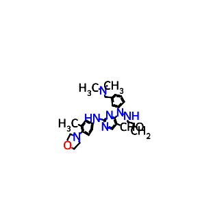 C=CCNN(c1cccc(CN(C)C)c1)c1nc(Nc2ccc(N3CCOCC3)c(C)c2)ncc1C=O